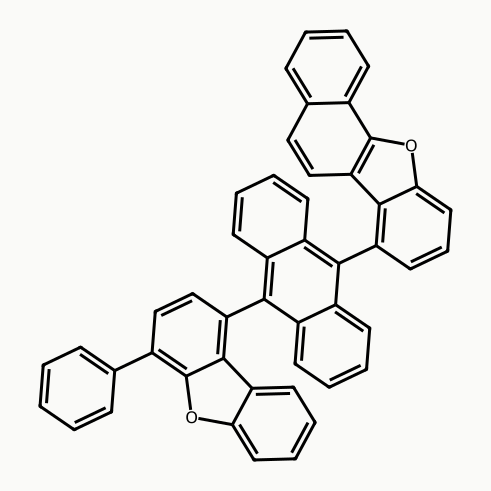 c1ccc(-c2ccc(-c3c4ccccc4c(-c4cccc5oc6c7ccccc7ccc6c45)c4ccccc34)c3c2oc2ccccc23)cc1